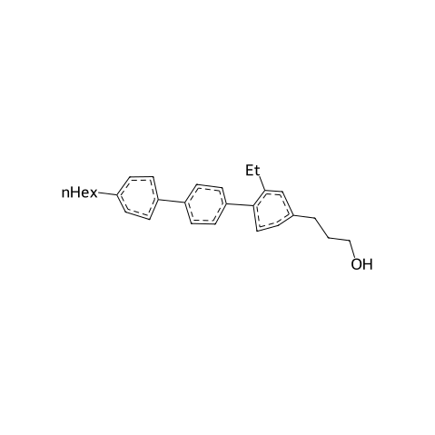 CCCCCCc1ccc(-c2ccc(-c3ccc(CCCO)cc3CC)cc2)cc1